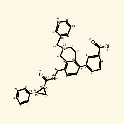 O=C(O)c1cccc(-c2ccc(CNC(=O)[C@H]3C[C@H]3c3ccccc3)c3c2CCN(Cc2cccnc2)C3)c1